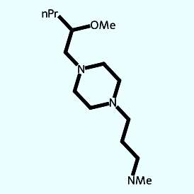 CCCC(CN1CCN(CCCNC)CC1)OC